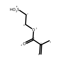 C=C(C)C(=O)OCCS(=O)(=O)O